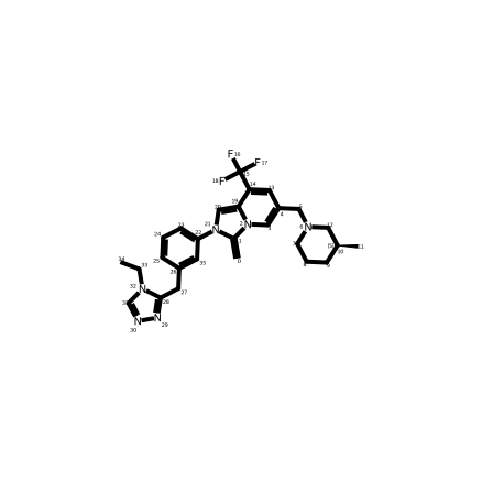 C=C1N2C=C(CN3CCC[C@H](C)C3)C=C(C(F)(F)F)C2=CN1c1cccc(Cc2nncn2CC)c1